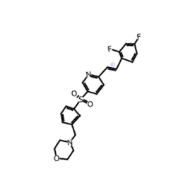 O=S(=O)(c1ccc(/C=C/c2ccc(F)cc2F)nc1)c1cccc(CN2CCOCC2)c1